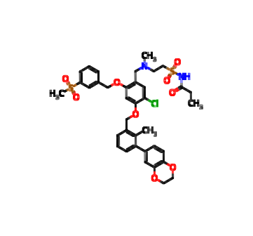 CCC(=O)NS(=O)(=O)CCN(C)Cc1cc(Cl)c(OCc2cccc(-c3ccc4c(c3)OCCO4)c2C)cc1OCc1cccc(S(C)(=O)=O)c1